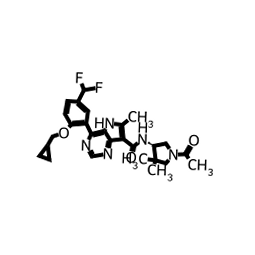 CC(=O)N1C[C@@H](NC(=O)c2c(C)[nH]c3c(-c4cc(C(F)F)ccc4OCC4CC4)ncnc23)C(C)(C)C1